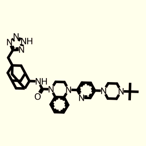 CC(C)(C)N1CCN(c2ccc(N3CCN(C(=O)NC4C5CC6CC4CC(Cc4nn[nH]n4)(C6)C5)c4ccccc43)nc2)CC1